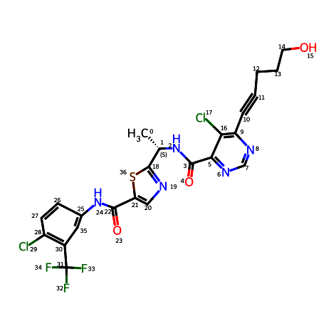 C[C@H](NC(=O)c1ncnc(C#CCCCO)c1Cl)c1ncc(C(=O)Nc2ccc(Cl)c(C(F)(F)F)c2)s1